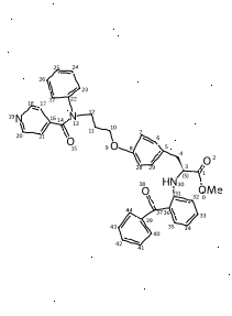 COC(=O)[C@H](Cc1ccc(OCCCN(C(=O)c2ccncc2)c2ccccc2)cc1)Nc1ccccc1C(=O)c1ccccc1